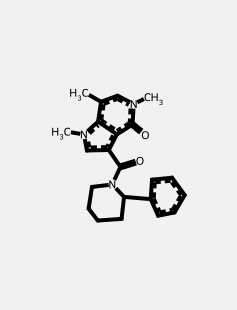 Cc1cn(C)c(=O)c2c(C(=O)N3CCCCC3c3ccccc3)cn(C)c12